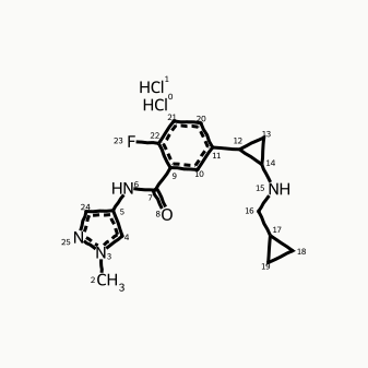 Cl.Cl.Cn1cc(NC(=O)c2cc(C3CC3NCC3CC3)ccc2F)cn1